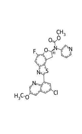 COC(=O)N(c1cccnc1)[C@H]1Cc2c(c(F)cc3nc(-c4cc(Cl)cc5cc(OC)cnc45)sc23)O1